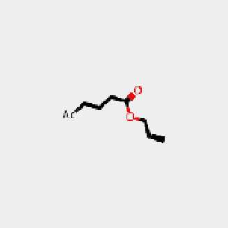 C=CCOC(=O)CCCC(C)=O